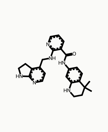 CC1(C)CCNc2cc(NC(=O)c3cccnc3NCc3ccnc4c3CCN4)ccc21